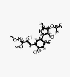 CON=C(OC)C(Cl)=Cc1cc(-c2nn(C)c(OC(F)F)c2Cl)c(F)cc1Cl